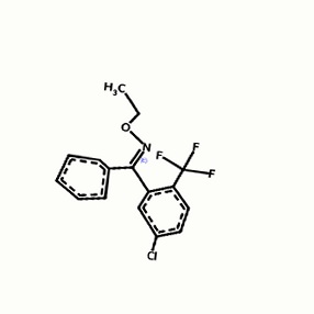 CCO/N=C(\c1ccccc1)c1cc(Cl)ccc1C(F)(F)F